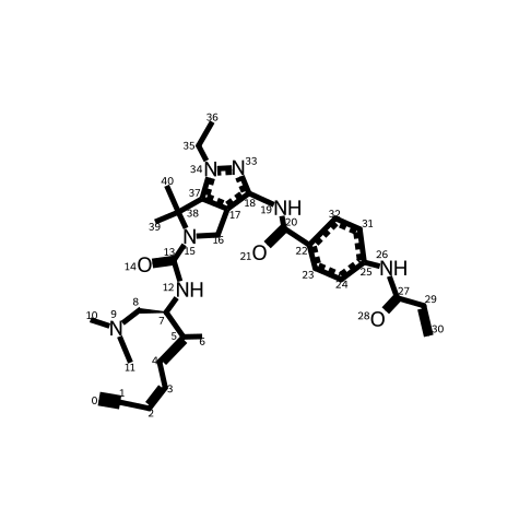 C#C/C=C\C=C(/C)[C@@H](CN(C)C)NC(=O)N1Cc2c(NC(=O)c3ccc(NC(=O)C=C)cc3)nn(CC)c2C1(C)C